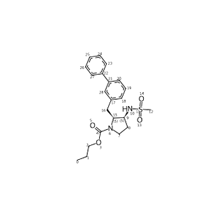 CCCOC(=O)N1CC[C@H](NS(C)(=O)=O)[C@@H]1Cc1cccc(-c2ccccc2)c1